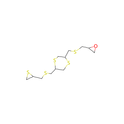 C1OC1CSCC1CSC(CSCC2CS2)CS1